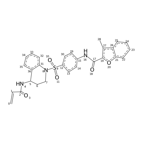 C=CC(=O)NC1CCN(S(=O)(=O)c2ccc(NC(=O)c3oc4ccccc4c3C)cc2)c2ccccc21